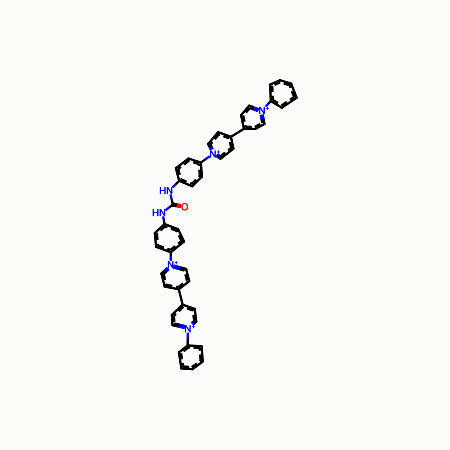 O=C(Nc1ccc(-[n+]2ccc(-c3cc[n+](-c4ccccc4)cc3)cc2)cc1)Nc1ccc(-[n+]2ccc(-c3cc[n+](-c4ccccc4)cc3)cc2)cc1